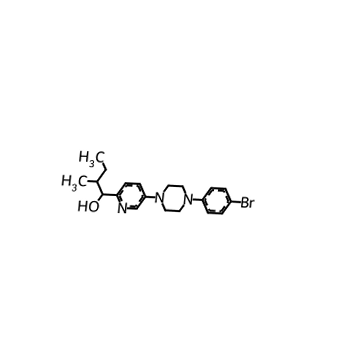 CCC(C)C(O)c1ccc(N2CCN(c3ccc(Br)cc3)CC2)cn1